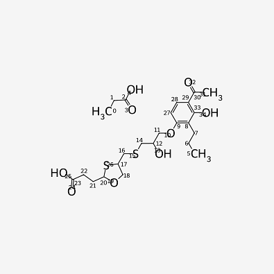 CCC(=O)O.CCCc1c(OCC(O)CSCC2COC(CCC(=O)O)S2)ccc(C(C)=O)c1O